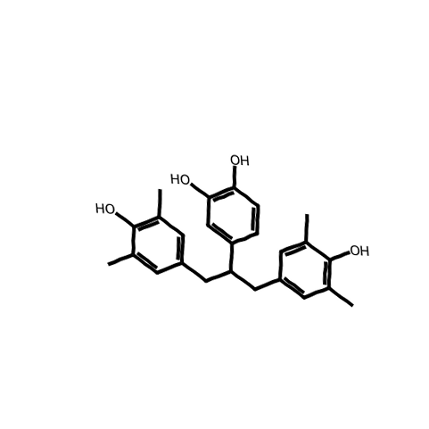 Cc1cc(CC(Cc2cc(C)c(O)c(C)c2)c2ccc(O)c(O)c2)cc(C)c1O